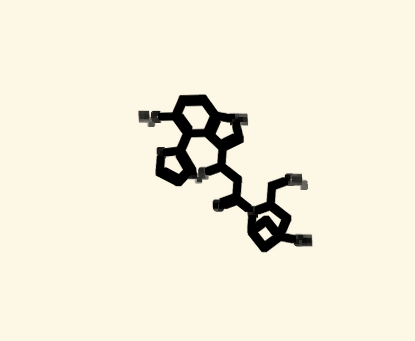 CCC1CC2(O)CC(C2)N1C(=O)CC(C)c1c[nH]c2ccc(C)c(-c3cccs3)c12